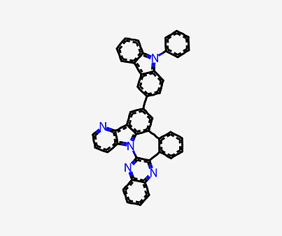 c1ccc(-n2c3ccccc3c3cc(-c4cc5c6c(c4)c4ncccc4n6-c4nc6ccccc6nc4-c4ccccc4-5)ccc32)cc1